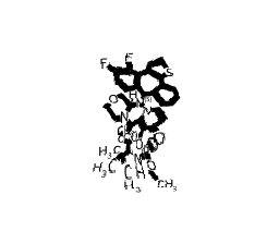 CCOP(=O)(N[C@@H](C(=O)OC)C(C)(C)C)Oc1c2n(ccc1=O)N([C@@H]1c3ccccc3-c3sccc3-c3c1ccc(F)c3F)[C@@H]1COCCN1C2=O